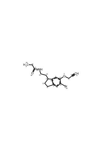 C#CCOc1cc2c(cc1Br)CCC2CCNC(=O)CC